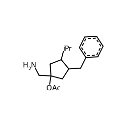 CC(=O)OC1(CN)CC(Cc2ccccc2)C(C(C)C)C1